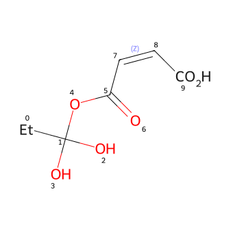 CCC(O)(O)OC(=O)/C=C\C(=O)O